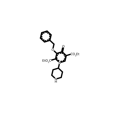 CCOC(=O)c1cn(C2CCNCC2)c(C(=O)OCC)c(OCc2ccccc2)c1=O